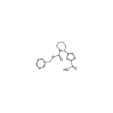 O=C(O)c1ccc(C2CCCCN2C(=O)OCc2ccccc2)s1